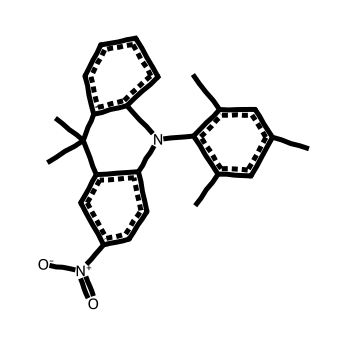 Cc1cc(C)c(N2c3ccccc3C(C)(C)c3cc([N+](=O)[O-])ccc32)c(C)c1